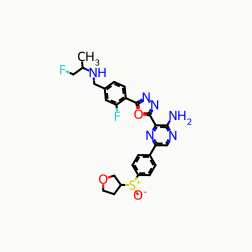 CC(CF)NCc1ccc(-c2nnc(-c3nc(-c4ccc([S+]([O-])C5CCOC5)cc4)cnc3N)o2)c(F)c1